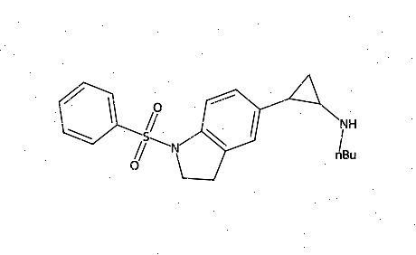 CCCCNC1CC1c1ccc2c(c1)CCN2S(=O)(=O)c1ccccc1